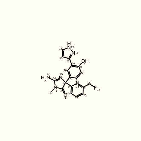 CN1C(=O)C(c2ccc(O)c(-c3cc[nH]n3)c2)(c2cccc(CF)n2)N=C1N